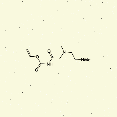 C=COC(=O)NC(=O)CN(C)CCNC